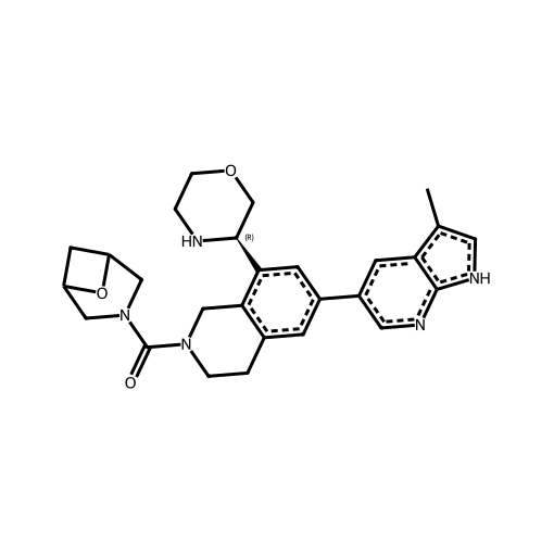 Cc1c[nH]c2ncc(-c3cc4c(c([C@@H]5COCCN5)c3)CN(C(=O)N3CC5CC(C3)O5)CC4)cc12